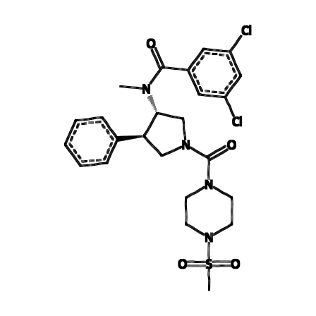 CN(C(=O)c1cc(Cl)cc(Cl)c1)[C@@H]1CN(C(=O)N2CCN(S(C)(=O)=O)CC2)C[C@H]1c1ccccc1